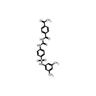 CC(=O)c1ccc(C(=O)NC(=S)Nc2ccc(S(=O)(=O)Nc3cc(C)cc(C)c3)cc2)cc1